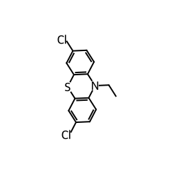 CCN1c2ccc(Cl)cc2Sc2cc(Cl)ccc21